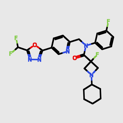 O=C(N(Cc1ccc(-c2nnc(C(F)F)o2)cn1)c1cccc(F)c1)C1(F)CN(C2CCCCC2)C1